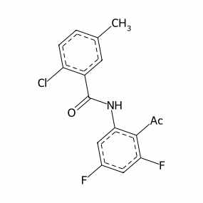 CC(=O)c1c(F)cc(F)cc1NC(=O)c1cc(C)ccc1Cl